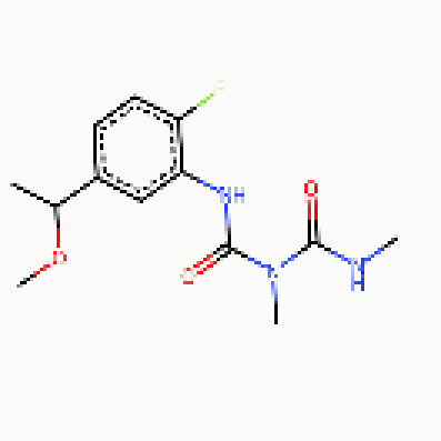 CNC(=O)N(C)C(=O)Nc1cc(C(C)OC)ccc1F